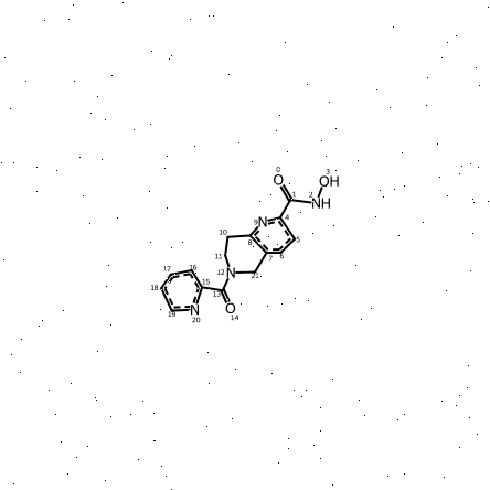 O=C(NO)c1ccc2c(n1)CCN(C(=O)c1ccccn1)C2